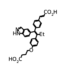 CCC(=C(c1ccc(C=CC(=O)O)cc1)c1ccc2[nH]ncc2c1)c1ccc(OCCCC(=O)O)cc1